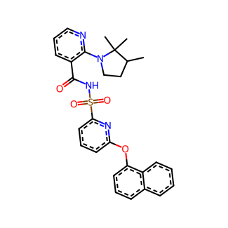 CC1CCN(c2ncccc2C(=O)NS(=O)(=O)c2cccc(Oc3cccc4ccccc34)n2)C1(C)C